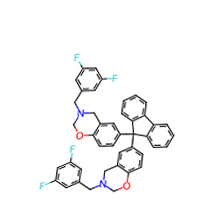 Fc1cc(F)cc(CN2COc3ccc(C4(c5ccc6c(c5)CN(Cc5cc(F)cc(F)c5)CO6)c5ccccc5-c5ccccc54)cc3C2)c1